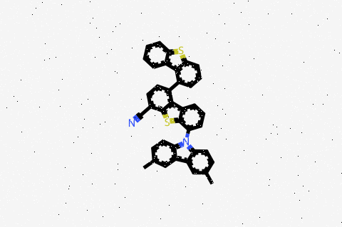 Cc1ccc2c(c1)c1cc(C)ccc1n2-c1cccc2c1sc1c(C#N)ccc(-c3cccc4sc5ccccc5c34)c12